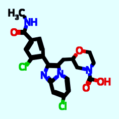 CNC(=O)c1ccc(-c2nc3cc(Cl)ccn3c2CC2CN(C(=O)O)CCO2)c(Cl)c1